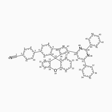 N#Cc1ccc(-c2ccc3c(c2)C2(c4ccccc4Oc4ccccc42)c2cc(-c4cc(-c5ccccc5)nc(-c5ccccc5)n4)ccc2-3)cc1